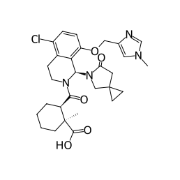 Cn1cnc(COc2ccc(Cl)c3c2[C@@H](N2CC4(CC4)CC2=O)N(C(=O)[C@@H]2CCCC[C@]2(C)C(=O)O)CC3)c1